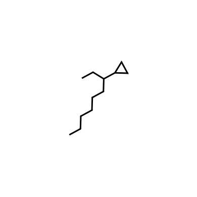 CCCCCCC(CC)C1CC1